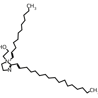 CCCCCCCCCCC=C[N+]1(CCO)CCN=C1C=CCCCCCCCCCCCCCCC